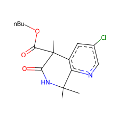 CCCCOC(=O)C1(C)C(=O)NC(C)(C)c2ncc(Cl)cc21